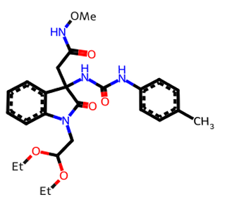 CCOC(CN1C(=O)C(CC(=O)NOC)(NC(=O)Nc2ccc(C)cc2)c2ccccc21)OCC